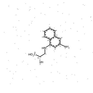 CCC[C@@H](CNc1nc(N)nc2cccnc12)C(=O)O